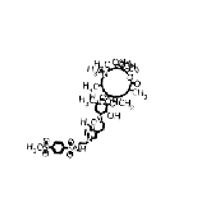 CC[C@H]1OC(=O)[C@H](C)C[C@H](C)[C@@H](O[C@@H]2O[C@H](C)C[C@H](N(C)CCc3cn(CCNS(=O)(=O)c4ccc(S(C)(=O)=O)cc4)nn3)[C@H]2O)[C@](C)(O)C[C@@H](C)CN(C)[C@H](C)[C@@H](O)[C@]1(C)O